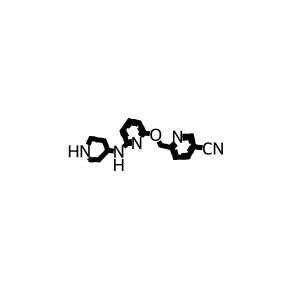 N#Cc1ccc(COc2cccc(NC3CCNCC3)n2)nc1